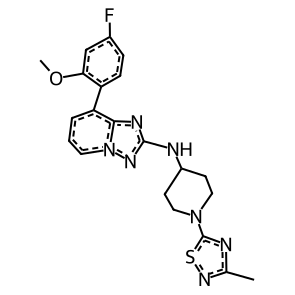 COc1cc(F)ccc1-c1cccn2nc(NC3CCN(c4nc(C)ns4)CC3)nc12